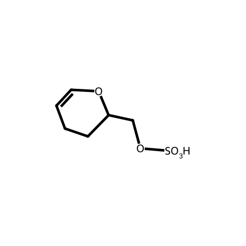 O=S(=O)(O)OCC1CCC=CO1